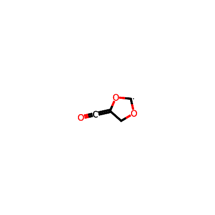 O=C=C1CO[CH]O1